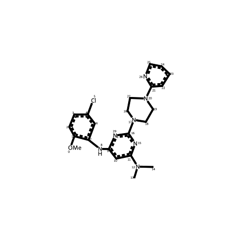 COc1ccc(Cl)cc1Nc1cc(N(C)C)nc(N2CCN(c3ccccn3)CC2)n1